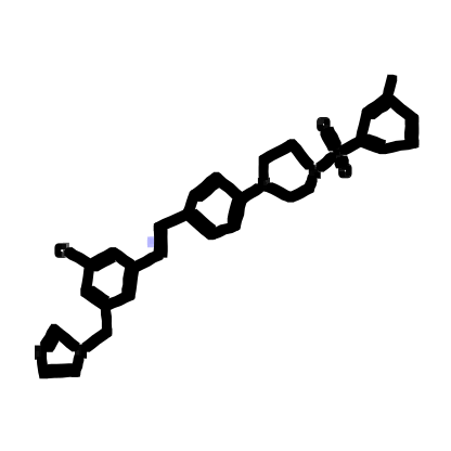 Cc1cccc(S(=O)(=O)N2CCN(c3ccc(/C=C/c4cc(Cl)cc(Cn5ccnc5)c4)cc3)CC2)c1